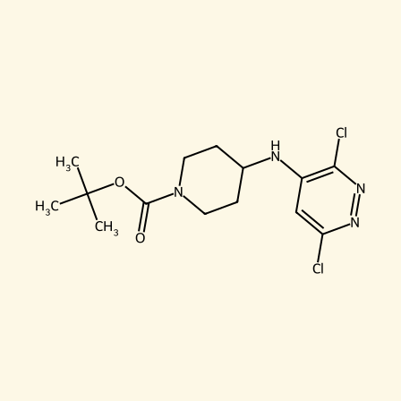 CC(C)(C)OC(=O)N1CCC(Nc2cc(Cl)nnc2Cl)CC1